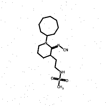 CS(=O)(=O)NCCC1[CH]CCN(C2CCCCCCC2)C1=NC#N